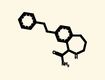 NC(=O)C1NCCCc2ccc([CH]Cc3ccccc3)cc21